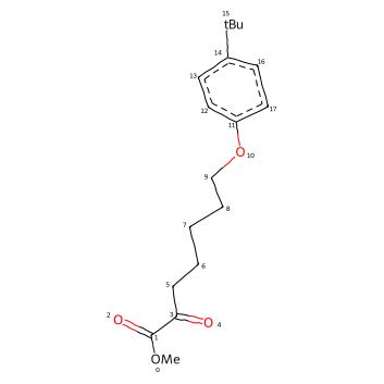 COC(=O)C(=O)CCCCCOc1ccc(C(C)(C)C)cc1